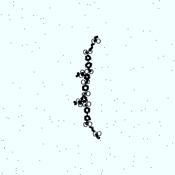 C=CC(=O)OCCCCOC(=O)C1CCC([C@H]2CC[C@H](C(=O)Oc3ccc(OC(=O)[C@H]4CC[C@H](C(=O)Oc5ccc(OC(=O)C6CCC([C@H]7CC[C@H](C(=O)OCCCCOC(=O)C=C)CC7)CC6)c(C(=O)OC(=C)C)c5)CC4)cc3C(=O)OC(=C)C)CC2)CC1